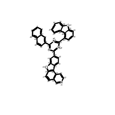 c1ccc2cc(-c3nc(-c4ccc5c(c4)oc4ccc6cnccc6c45)nc(-c4cccc5oc6ccccc6c45)n3)ccc2c1